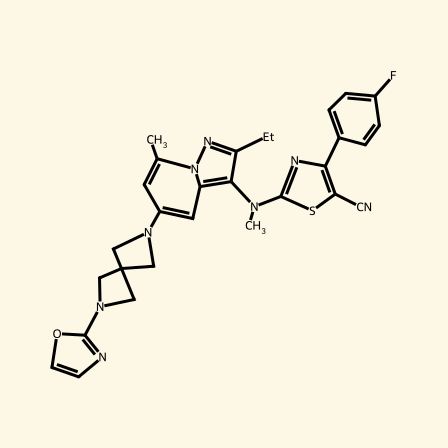 CCc1nn2c(C)cc(N3CC4(C3)CN(c3ncco3)C4)cc2c1N(C)c1nc(-c2ccc(F)cc2)c(C#N)s1